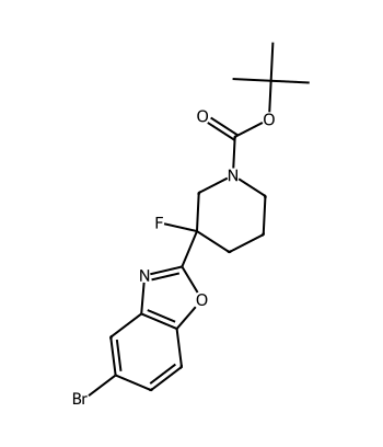 CC(C)(C)OC(=O)N1CCCC(F)(c2nc3cc(Br)ccc3o2)C1